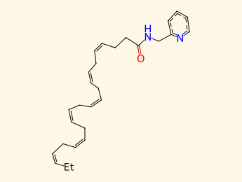 CC/C=C\C/C=C\C/C=C\C/C=C\C/C=C\C/C=C\CCC(=O)NCc1ccccn1